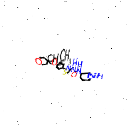 Cc1cc(-c2nc(NC(=O)N[C@H]3CCCNC3)cs2)ccc1OCC1(C)CCOCC1